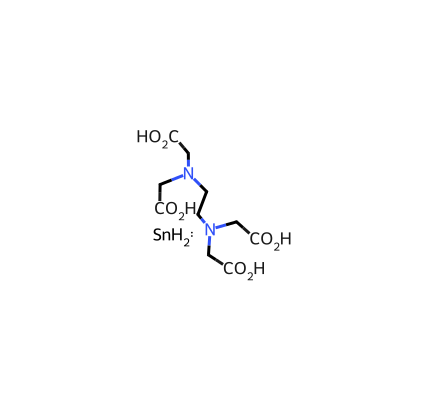 O=C(O)CN(CCN(CC(=O)O)CC(=O)O)CC(=O)O.[SnH2]